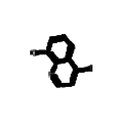 Clc1ccnc2c(Cl)cccc12